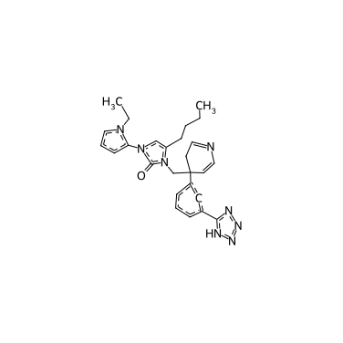 CCCCc1cn(-c2cccn2CC)c(=O)n1CC1(c2cccc(-c3nnn[nH]3)c2)C=CN=CC1